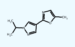 Cc1cnc(-c2cnn(C(C)C)c2)o1